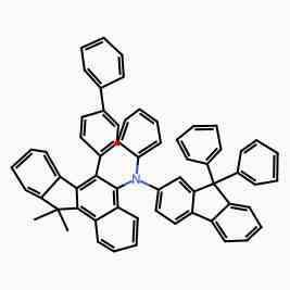 CC1(C)c2ccccc2-c2c(-c3ccc(-c4ccccc4)cc3)c(N(c3ccccc3)c3ccc4c(c3)C(c3ccccc3)(c3ccccc3)c3ccccc3-4)c3ccccc3c21